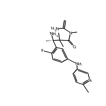 C=C(N)N(C)C(=O)C(C)(C)[C@](C)(N)c1cc(Nc2ccc(C)nc2)ccc1F